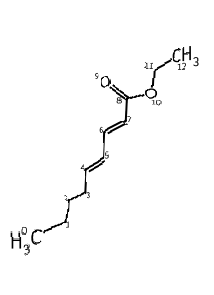 CCCCC=C/C=C/C(=O)OCC